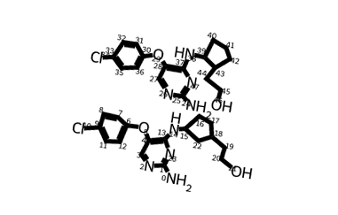 Nc1ncc(Oc2ccc(Cl)cc2)c(NC2CCC(CCO)C2)n1.Nc1ncc(Oc2ccc(Cl)cc2)c(NC2CCCC2CCO)n1